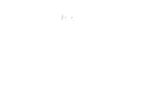 Cc1cccc2co[c]c12